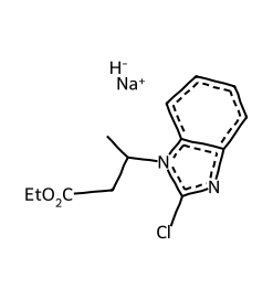 CCOC(=O)CC(C)n1c(Cl)nc2ccccc21.[H-].[Na+]